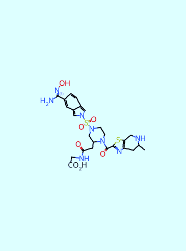 CC1Cc2nc(C(=O)N3CCN(S(=O)(=O)n4cc5ccc(/C(N)=N\O)cc5c4)CC3CC(=O)NCC(=O)O)sc2CN1